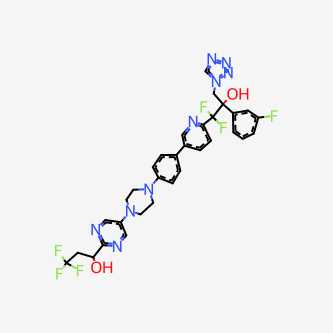 OC(CC(F)(F)F)c1ncc(N2CCN(c3ccc(-c4ccc(C(F)(F)[C@](O)(Cn5cnnn5)c5cccc(F)c5)nc4)cc3)CC2)cn1